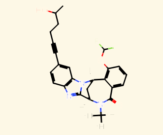 [2H]C([2H])([2H])N1C(=O)c2cccc(OC(F)F)c2[C@H]2C[C@@H]1c1nc3ccc(C#CCCC(C)O)cc3n12